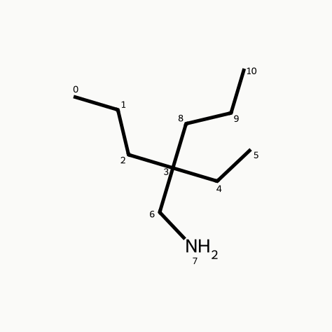 CCCC(CC)(CN)CCC